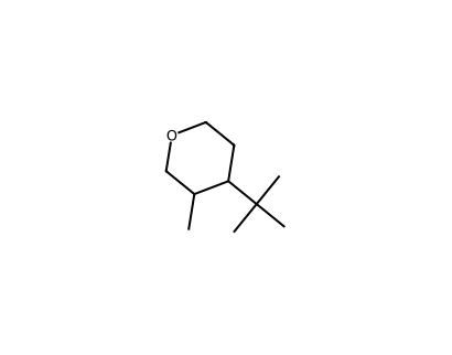 CC1COCCC1C(C)(C)C